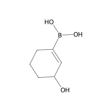 OB(O)C1=CC(O)CCC1